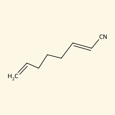 C=CCCCC=CC#N